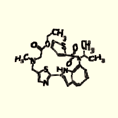 CCOC(=O)CN(C)Cc1cnc(-c2cc3cccc(N(C(C)C)S(=O)(=O)c4cccs4)c3[nH]2)s1